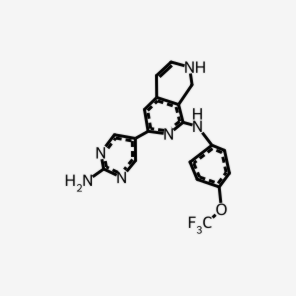 Nc1ncc(-c2cc3c(c(Nc4ccc(OC(F)(F)F)cc4)n2)CNC=C3)cn1